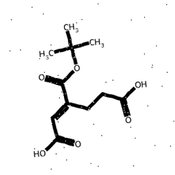 CC(C)(C)OC(=O)/C(=C/C(=O)O)CCC(=O)O